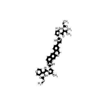 COC(=O)NC(C(=O)N1[C@@H](C)CC[C@H]1c1ncc(-c2ccc3c(c2)COc2cc4c(ccc5nc([C@@H]6C[C@H](C)CN6C(=O)[C@@H](NC(=O)OC)C6CCOCC6)[nH]c54)cc2-3)[nH]1)C(C)C